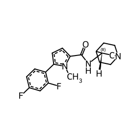 Cn1c(C(=O)N[C@H]2CN3CCC2CC3)ccc1-c1ccc(F)cc1F